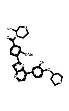 CCCC1COCCN1C(=O)c1ccc(-c2cc3nccc(-c4ccc(OC5CCOCC5)c(C#N)c4)c3o2)c(OC)c1